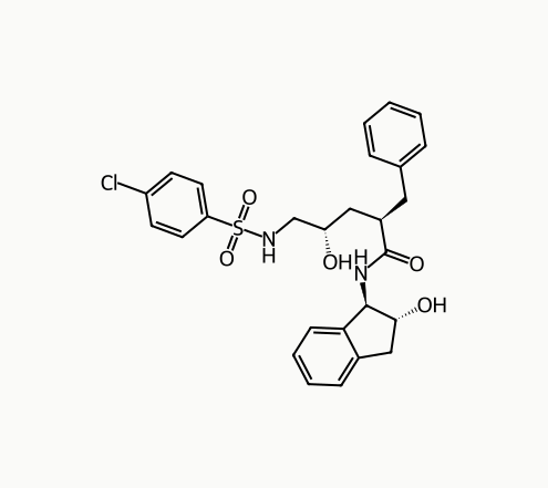 O=C(N[C@@H]1c2ccccc2C[C@H]1O)[C@H](Cc1ccccc1)C[C@H](O)CNS(=O)(=O)c1ccc(Cl)cc1